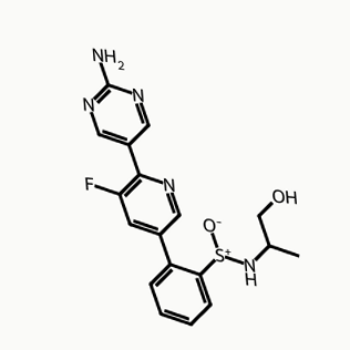 CC(CO)N[S+]([O-])c1ccccc1-c1cnc(-c2cnc(N)nc2)c(F)c1